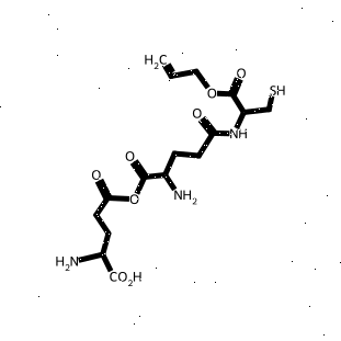 C=CCOC(=O)C(CS)NC(=O)CCC(N)C(=O)OC(=O)CCC(N)C(=O)O